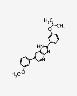 COc1cccc(-c2cnc3nc(-c4cccc(OC(C)C)c4)[nH]c3c2)c1